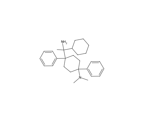 CN(C)C1(c2ccccc2)CCC(c2ccccc2)(C(C)(N)C2CCCCC2)CC1